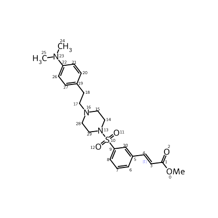 COC(=O)/C=C/c1cccc(S(=O)(=O)N2CCN(CCc3ccc(N(C)C)cc3)CC2)c1